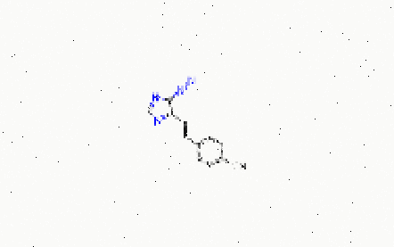 N#Cc1ccc(C=CC2=NC=NC2=[N+]=[N-])cc1